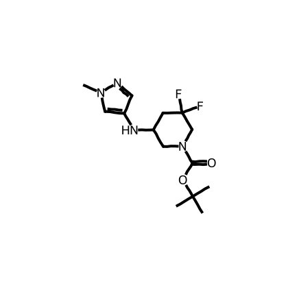 Cn1cc(NC2CN(C(=O)OC(C)(C)C)CC(F)(F)C2)cn1